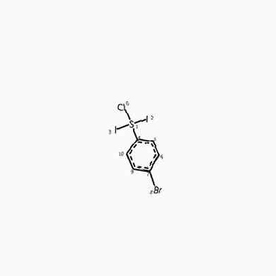 ClS(I)(I)c1ccc(Br)cc1